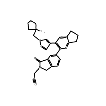 C#CCN1Cc2ccc(-c3nc4c(cc3-c3cnn(CC5(C)CCCC5)c3)CCC4)cc2C1=O